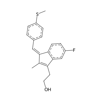 CSc1ccc(/C=C2/C(C)=C(CCO)c3cc(F)ccc32)cc1